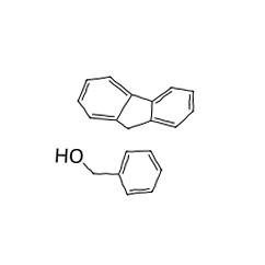 OCc1ccccc1.c1ccc2c(c1)Cc1ccccc1-2